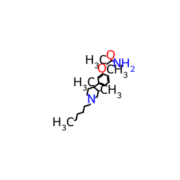 CCCCCCN1CC[C@](C)(c2cccc(OC(C)(C)C(N)=O)c2)[C@@H](C)C1